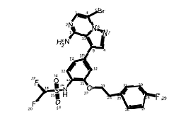 Nc1ncc(Br)n2ncc(-c3ccc(NS(=O)(=O)C(F)F)c(OCCc4ccc(F)cc4)c3)c12